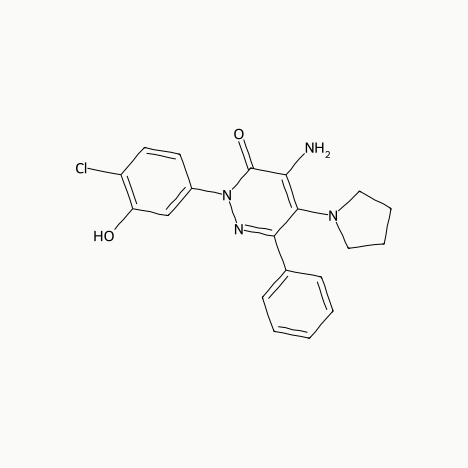 Nc1c(N2CCCC2)c(-c2ccccc2)nn(-c2ccc(Cl)c(O)c2)c1=O